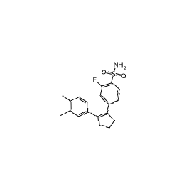 Cc1ccc(C2=C(c3ccc(S(N)(=O)=O)c(F)c3)CCC2)cc1C